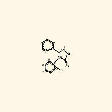 O=C1NNC(c2ccccc2)N1c1ccccc1Cl